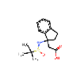 CC(C)(C)[S@+]([O-])N[C@@]1(CC(=O)O)CCc2ccccc21